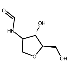 O=CNC1CO[C@H](CO)[C@H]1O